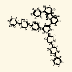 c1ccc(-c2ccc(-c3ccc(-c4cc(-c5ccc(-c6ccc(-c7ccccc7)nc6)nc5)cc(-c5cccc6c5sc5c(-c7ccccc7)cccc56)c4)cn3)cn2)cc1